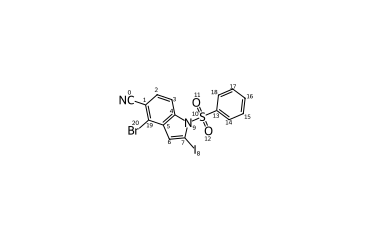 N#Cc1ccc2c(cc(I)n2S(=O)(=O)c2ccccc2)c1Br